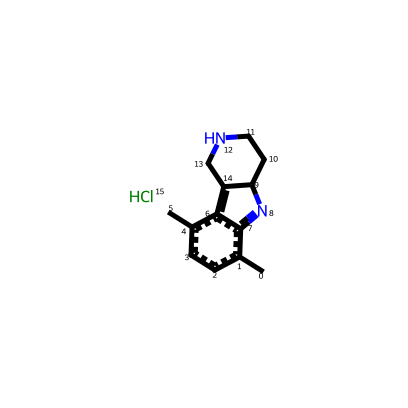 Cc1ccc(C)c2c1=NC1CCNCC=21.Cl